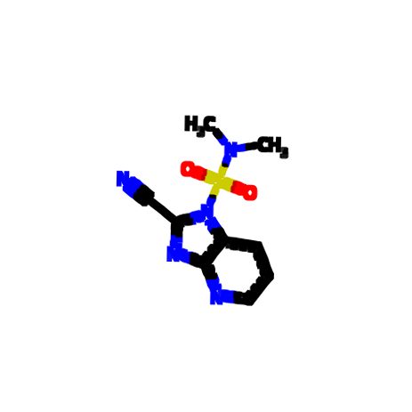 CN(C)S(=O)(=O)n1c(C#N)nc2ncccc21